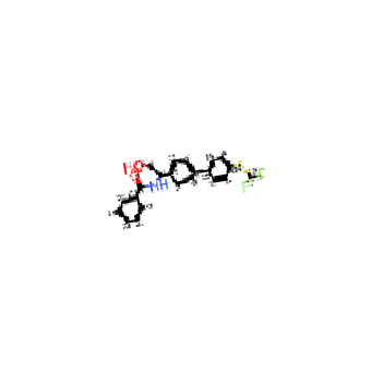 O=C(NC(CO)c1ccc(-c2ccc(SC(F)F)cc2)cc1)c1ccccc1